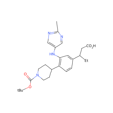 CCC(CC(=O)O)c1ccc(C2CCN(C(=O)OC(C)(C)C)CC2)c(Nc2cnc(C)nc2)c1